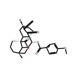 C=C1C(=O)[C@]23CC[C@H]1CC2[C@@]12CCC[C@@](C)(COC1=O)C2C[C@H]3OC(=O)c1ccc(OC)cc1